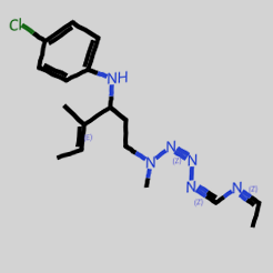 C\C=N/C=N\N=N/N(C)CCC(Nc1ccc(Cl)cc1)/C(C)=C/C